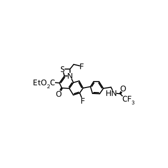 CCOC(=O)c1c2n(c3cc(-c4ccc(CNC(=O)C(F)(F)F)cc4)c(F)cc3c1=O)C(CF)S2